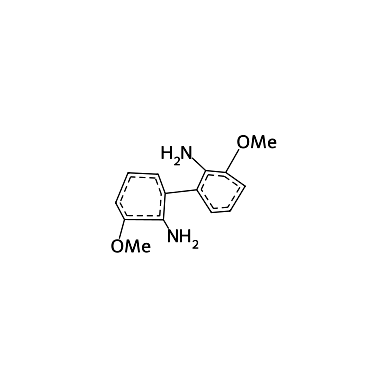 COc1cccc(-c2cccc(OC)c2N)c1N